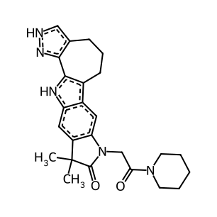 CC1(C)C(=O)N(CC(=O)N2CCCCC2)c2cc3c4c([nH]c3cc21)-c1n[nH]cc1CCC4